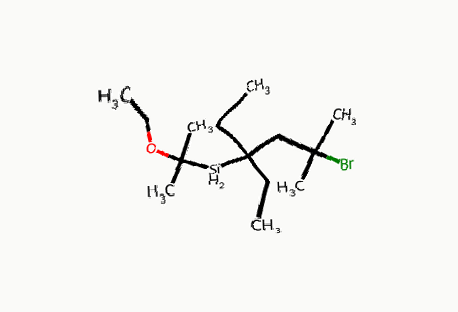 CCOC(C)(C)[SiH2]C(CC)(CC)CC(C)(C)Br